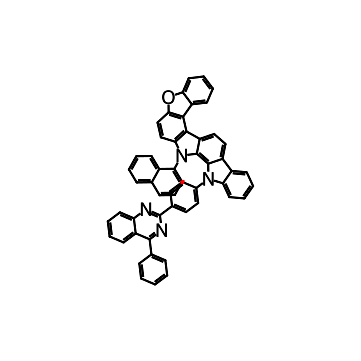 c1ccc(-c2nc(-c3ccc(-n4c5ccccc5c5ccc6c7c8c(ccc7n(-c7cccc9ccccc79)c6c54)oc4ccccc48)cc3)nc3ccccc23)cc1